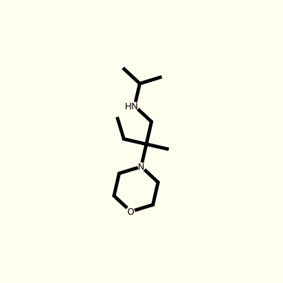 CCC(C)(CNC(C)C)N1CCOCC1